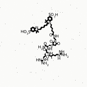 C[C@H](CCCNC(=N)N)C(=O)N[C@H](CCCNC(=N)N)C(=O)N[C@H](CSC1CC(=O)N(CCNC(=O)CCCCCN2/C(=C/C=C/C=C/C3=Nc4ccc(S(=O)(=O)O)cc4C3(C)C)C(C)(C)c3cc(S(=O)(=O)O)ccc32)C1=O)C(N)=O